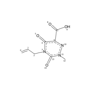 C=CCn1c(=O)c(C(=O)O)nn(C)c1=O